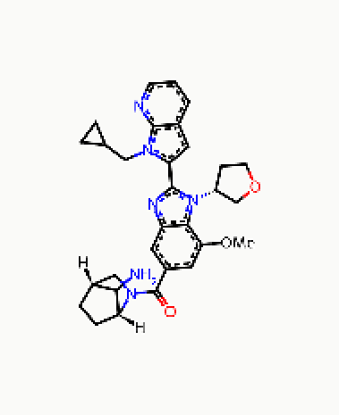 COc1cc(C(=O)N2C[C@H]3CC[C@@H]2C3N)cc2nc(-c3cc4cccnc4n3CC3CC3)n([C@@H]3CCOC3)c12